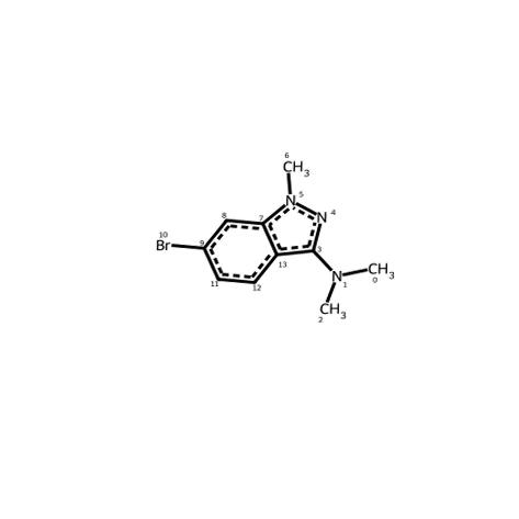 CN(C)c1nn(C)c2cc(Br)ccc12